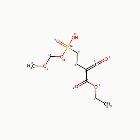 CCOC(=O)C(=C=O)CCP(=O)(O)OCOC